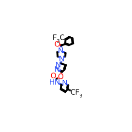 O=C(Nc1ccc(C(F)(F)F)cn1)Oc1ccc(N2CCN(C(=O)c3ccccc3C(F)(F)F)CC2)nn1